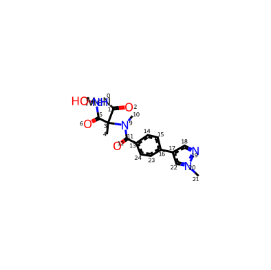 CNC(=O)C(C)(C(=O)NO)N(C)C(=O)c1ccc(-c2cnn(C)c2)cc1